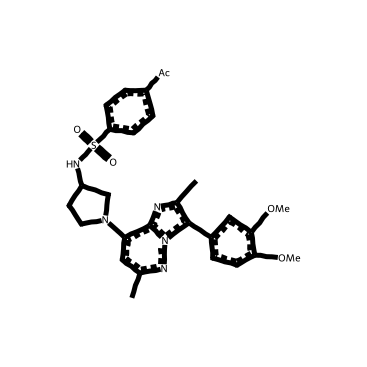 COc1ccc(-c2c(C)nc3c(N4CCC(NS(=O)(=O)c5ccc(C(C)=O)cc5)C4)cc(C)nn23)cc1OC